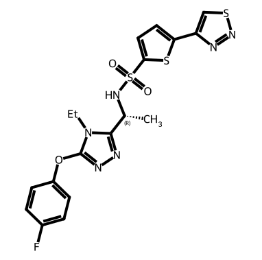 CCn1c(Oc2ccc(F)cc2)nnc1[C@@H](C)NS(=O)(=O)c1ccc(-c2csnn2)s1